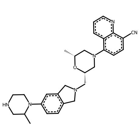 CC1CNCCN1c1ccc2c(c1)CN(C[C@H]1CN(c3ccc(C#N)c4ncccc34)C[C@@H](C)O1)C2